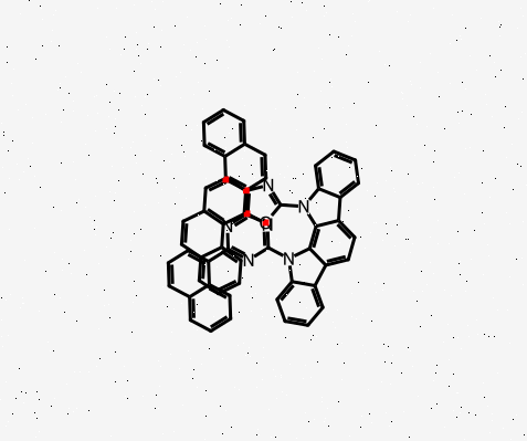 c1ccc2cc(-c3nc(-c4cccc5ccccc45)nc(-n4c5ccccc5c5ccc6c7ccccc7n(-c7nc8ccc9ccc%10ccccc%10c9c8o7)c6c54)n3)ccc2c1